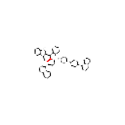 c1ccc(N(c2ccc(-c3ccc(-c4cccc5ccccc45)cc3)cc2)c2ccc(-c3cccc4ccccc34)cc2)c(-c2cccc3c2sc2ccccc23)c1